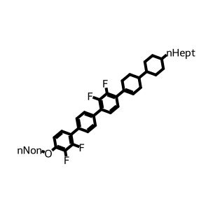 CCCCCCCCCOc1ccc(-c2ccc(-c3ccc(C4=CCC(C5CCC(CCCCCCC)CC5)CC4)c(F)c3F)cc2)c(F)c1F